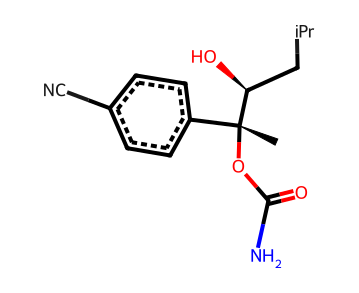 CC(C)C[C@H](O)[C@](C)(OC(N)=O)c1ccc(C#N)cc1